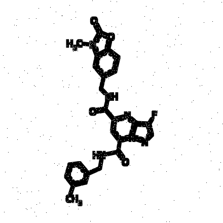 Cc1cccc(CNC(=O)c2cc(C(=O)NCc3ccc4oc(=O)n(C)c4c3)nc3c(F)cnn23)c1